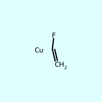 C=CF.[Cu]